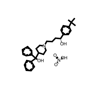 CC(C)(C)c1ccc([C@H](O)CCCN2CCC(C(O)(c3ccccc3)c3ccccc3)CC2)cc1.O=[N+]([O-])O